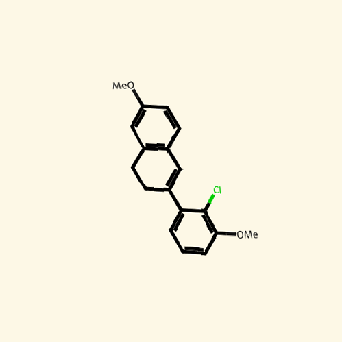 COc1ccc2c(c1)CCC(c1cccc(OC)c1Cl)=[C]2